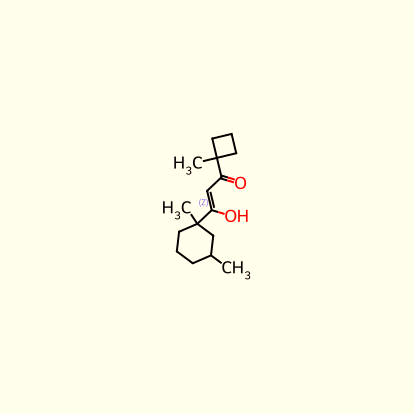 CC1CCCC(C)(/C(O)=C/C(=O)C2(C)CCC2)C1